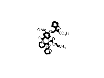 C=CCOC(=O)N1c2cc(OCc3c(C(=O)O)sc4ccccc34)c(OC)cc2C(=O)N2CCCC[C@H]2C1OC1CCCCO1